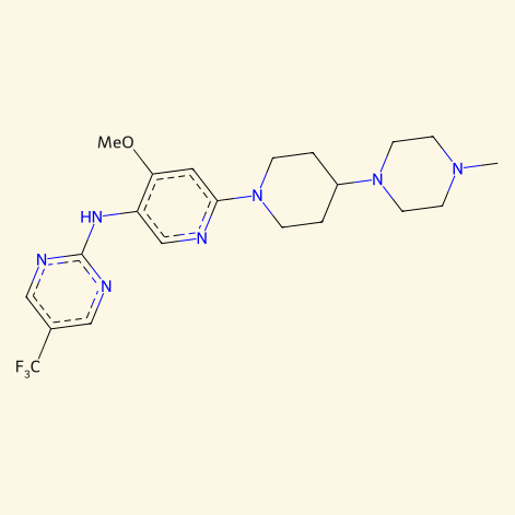 COc1cc(N2CCC(N3CCN(C)CC3)CC2)ncc1Nc1ncc(C(F)(F)F)cn1